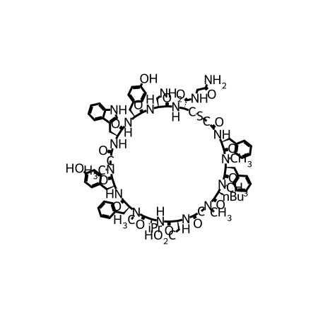 CCCC[C@H]1C(=O)N(C)CC(=O)N[C@@H](CC(=O)O)C(=O)N[C@@H](C(C)C)C(=O)N(C)[C@@H](Cc2ccccc2)C(=O)N[C@@H](Cc2ccc(O)cc2)C(=O)N(C)CC(=O)N[C@@H](Cc2c[nH]c3ccccc23)C(=O)N[C@@H](Cc2ccc(O)cc2)C(=O)N[C@@H](CN)C(=O)N[C@H](C(=O)NCC(N)=O)CSCC(=O)N[C@@H](Cc2ccccc2)C(=O)N(C)[C@@H](Cc2ccccc2)C(=O)N1C